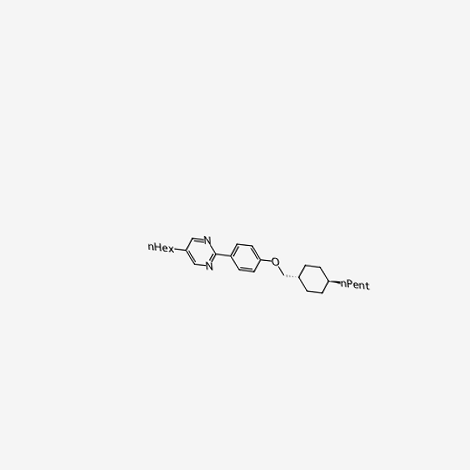 CCCCCCc1cnc(-c2ccc(OC[C@H]3CC[C@H](CCCCC)CC3)cc2)nc1